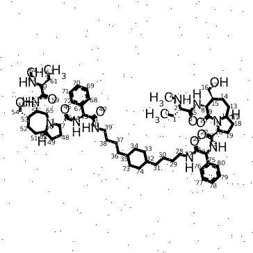 CC[C@H](NC)C(=O)N[C@@H]1C(=O)N2[C@@H](CC[C@@H]1CO)CC[C@H]2C(=O)N[C@H](C(=O)NCCCCC1CCC(CCCCNC(=O)[C@@H](NC(=O)[C@@H]2CC[C@@H]3CC[C@H](CO)[C@H](NC(=O)[C@H](CC)NC)CN32)c2ccccc2)CC1)c1ccccc1